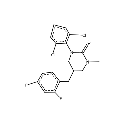 CN1CC(Cc2ccc(F)cc2F)CN(c2c(Cl)cccc2Cl)C1=O